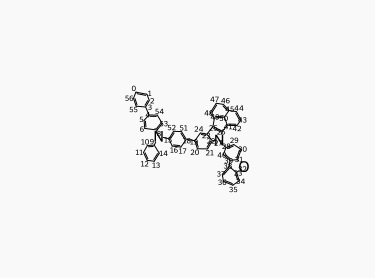 c1ccc(-c2ccc(N(c3ccccc3)c3ccc(-c4ccc5c(c4)c4c(n5-c5ccc6oc7ccccc7c6c5)-c5cccc6cccc-4c56)cc3)cc2)cc1